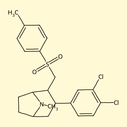 Cc1ccc(S(=O)(=O)CC2C(c3ccc(Cl)c(Cl)c3)CC3CCC2N3C)cc1